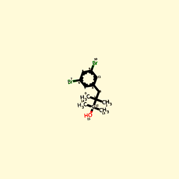 CC(C)(Cc1cc(Br)cc(Br)c1)[Si](C)(C)O